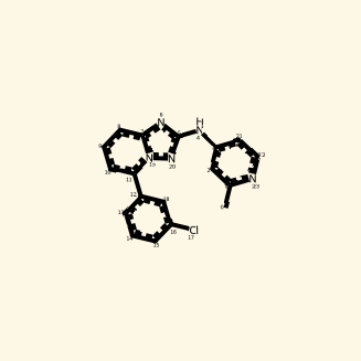 Cc1cc(Nc2nc3cccc(-c4cccc(Cl)c4)n3n2)ccn1